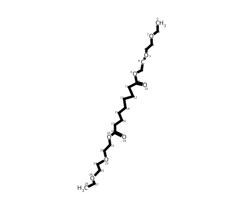 CCOCCOCCOC(=O)CCCCCCCC(=O)OCCOCCOCC